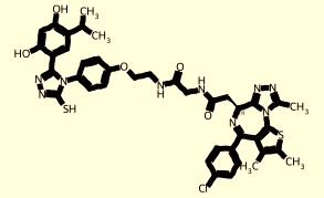 Cc1sc2c(c1C)C(c1ccc(Cl)cc1)=N[C@@H](CC(=O)NCC(=O)NCCOc1ccc(-n3c(S)nnc3-c3cc(C(C)C)c(O)cc3O)cc1)c1nnc(C)n1-2